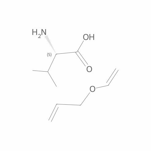 C=CCOC=C.CC(C)[C@H](N)C(=O)O